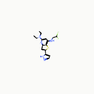 CCN(CC)c1cc(NCC(F)F)c2sc(-c3ccn[nH]3)cc2n1